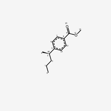 CCC[C@@H](C)c1ccc(C(=O)OC)cc1